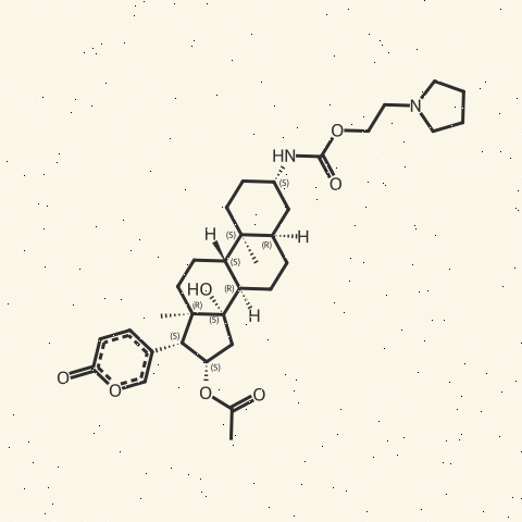 CC(=O)O[C@H]1C[C@]2(O)[C@@H]3CC[C@@H]4C[C@@H](NC(=O)OCCN5CCCC5)CC[C@]4(C)[C@H]3CC[C@]2(C)[C@H]1c1ccc(=O)oc1